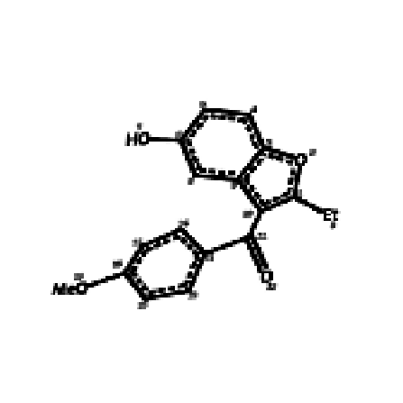 CCc1oc2ccc(O)cc2c1C(=O)c1ccc(OC)cc1